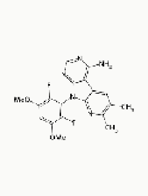 COc1cc(OC)c(F)c(-n2c3nc(C)c(C)cc3c3c(N)ncnc32)c1F